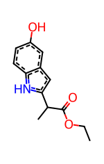 CCOC(=O)C(C)c1cc2cc(O)ccc2[nH]1